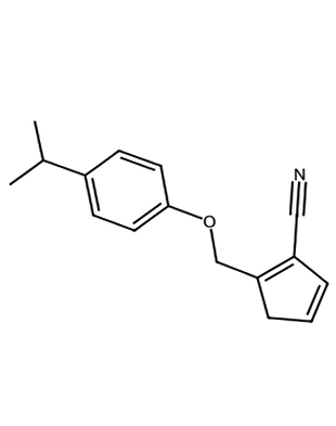 CC(C)c1ccc(OCC2=C(C#N)C=CC2)cc1